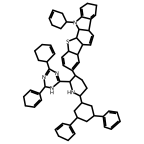 C1=CC(C2CC(c3ccccc3)CC(C3CCC(C4=CC5C(C=C4)SC4C5C=CC5C6=CCCC=C6N(C6CC=CCC6)C54)C(C4=NC(C5C=CCCC5)=NC(C5=CCCC=C5)N4)N3)C2)=CCC1